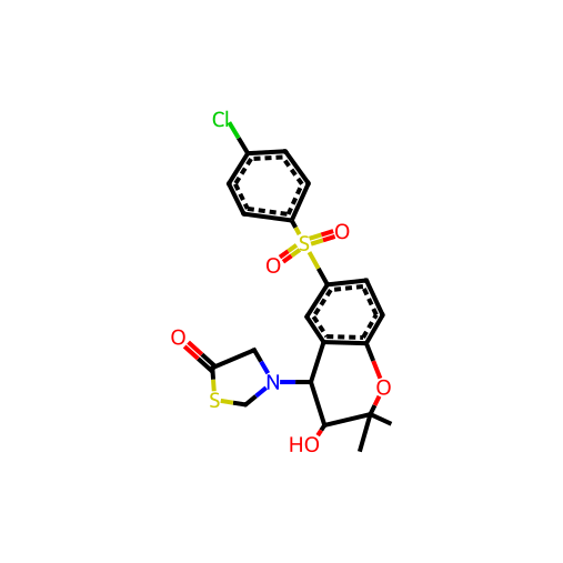 CC1(C)Oc2ccc(S(=O)(=O)c3ccc(Cl)cc3)cc2C(N2CSC(=O)C2)C1O